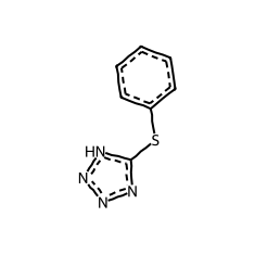 c1ccc(Sc2nnn[nH]2)cc1